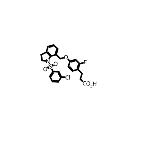 O=C(O)CCc1ccc(OCc2cccc3c2N(S(=O)(=O)c2cccc(Cl)c2)CC3)cc1F